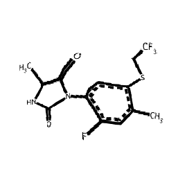 Cc1cc(F)c(N2C(=O)NC(C)C2=O)cc1SCC(F)(F)F